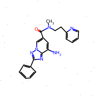 CN(CCc1ccccn1)C(=O)c1cc(N)c2nc(-c3ccccc3)nn2c1